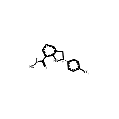 O=C(NO)c1cccc2c1N[C@@H](c1ccc(C(F)(F)F)cc1)C2